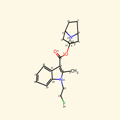 Cc1c(C(=O)OC2CC3CCC(C2)N3C)c2ccccc2n1CCF